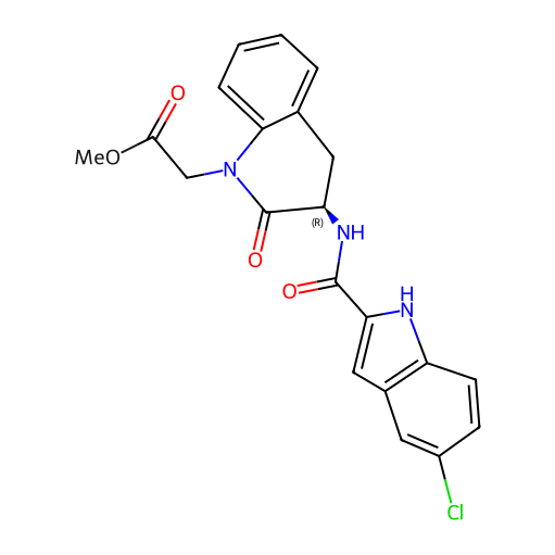 COC(=O)CN1C(=O)[C@H](NC(=O)c2cc3cc(Cl)ccc3[nH]2)Cc2ccccc21